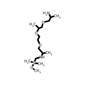 CO[Si](C)(C)CNC(C)COCCOC(C)COCC(C)N